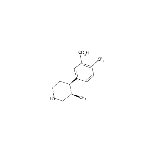 C[C@H]1CNCC[C@H]1c1ccc(C(F)(F)F)c(C(=O)O)c1